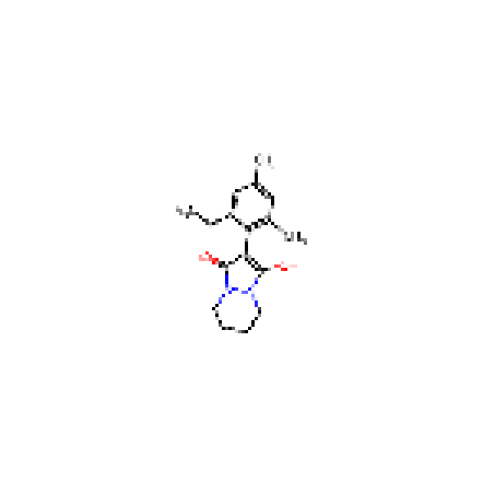 CCc1cc(C)cc(C)c1-c1c(O)n2n(c1=O)CCCC2